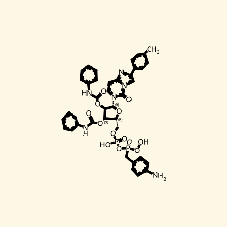 Cc1ccc(-c2cn3c(=O)n([C@@H]4O[C@H](COP(=O)(O)OP(=O)(Cc5ccc(N)cc5)OO)[C@H](OC(=O)Nc5ccccc5)C4OC(=O)Nc4ccccc4)ccc3n2)cc1